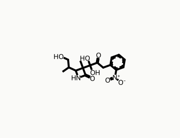 CC(CO)C1NC(=O)C1(C)C(O)(O)C(=O)Cc1ccccc1[N+](=O)[O-]